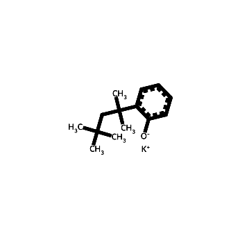 CC(C)(C)CC(C)(C)c1ccccc1[O-].[K+]